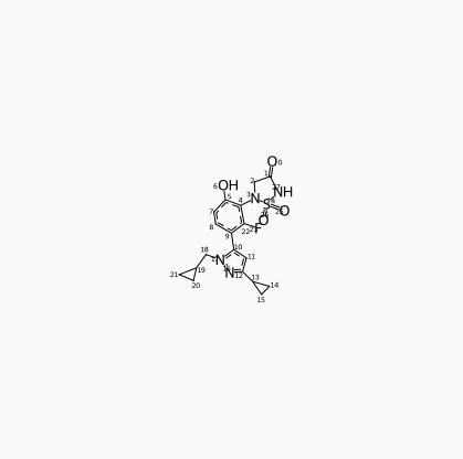 O=C1CN(c2c(O)ccc(-c3cc(C4CC4)nn3CC3CC3)c2F)S(=O)(=O)N1